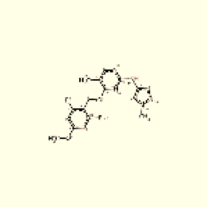 COc1cc(F)c(CNc2nc(Nc3cnn(C)c3)ncc2C)c(F)c1